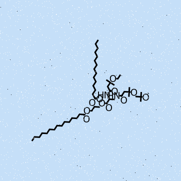 CCCCCCCCCCCCCCC(=O)OCC(COC(=O)C(CNC(=O)CC(C)(C)OCC(C)(C)OC)NC(=O)CC(C)(C)OCC)OC(=O)CCCCCCCCCCCCCC